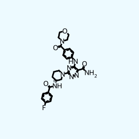 NC(=O)c1nnc(N2CCC[C@@H](NC(=O)c3ccc(F)cc3)C2)nc1Nc1ccc(C(=O)N2CCOCC2)cc1